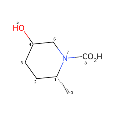 C[C@@H]1CCC(O)CN1C(=O)O